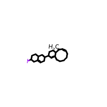 C=C1/C=C\CCCCCC2=CC(C3CC=C4CC(I)CCC4C3)CCC12